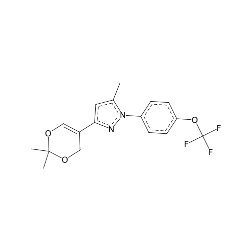 Cc1cc(C2=COC(C)(C)OC2)nn1-c1ccc(OC(F)(F)F)cc1